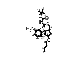 CCCCO[C@@H]1CC2CSC(NC(=O)OC(C)(C)C)=N[C@@]2(c2cc(N)ccc2F)C1